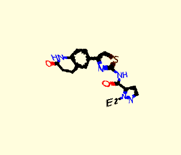 CCn1nccc1C(=O)Nc1nc(-c2ccc3c(c2)CCC(=O)N3)cs1